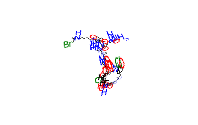 C=C/C(=C\C=C(/C)NC(=O)[C@H](CCCNC(N)=O)NC(=O)[C@@H](NC(=O)CCCCCNC(=C)CBr)C(C)C)C(=O)N(C)CC(=O)O[C@H]1CC(=O)N(C)c2cc(cc(OC)c2Cl)C/C(C)=C/C=C/[C@@H](OC)[C@@]2(O)C[C@H](OC(=O)N2)[C@@H](Cl)[C@@H]2O[C@@]12C